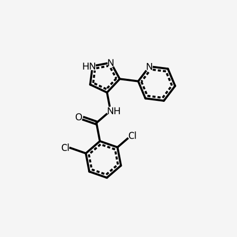 O=C(Nc1c[nH]nc1-c1ccccn1)c1c(Cl)cccc1Cl